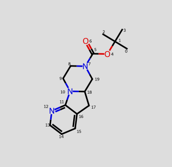 CC(C)(C)OC(=O)N1CCN2c3ncccc3CC2C1